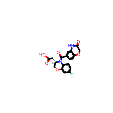 O=C(O)C[C@H]1COc2cc(F)ccc2N1C(=O)c1ccc2c(c1)NC(=O)CO2